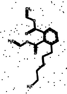 C=COC(=O)c1cccc(CCCCCC)c1C(=O)OC=C